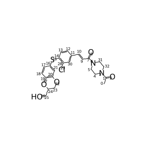 CC(=O)N1CCN(C(=O)C=Cc2ccc(Sc3ccc4c(c3)OCC(CO)O4)c(Cl)c2)CC1